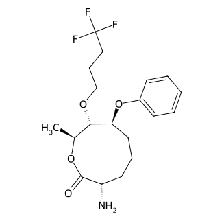 C[C@@H]1OC(=O)[C@@H](N)CCC[C@H](Oc2ccccc2)[C@H]1OCCCC(F)(F)F